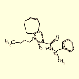 CCCCn1c2c(cc(C(=O)N[C@H](C)c3ccccc3)c1=O)CCCCCC2